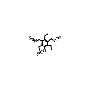 CCc1c(CN=C=S)c(CC)c(N=C=S)c(CC)c1CN=C=S